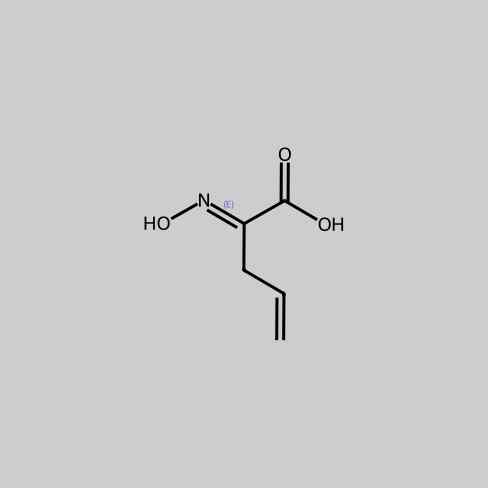 C=CC/C(=N\O)C(=O)O